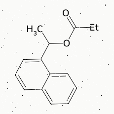 CCC(=O)OC(C)c1cccc2ccccc12